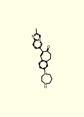 Cc1cn2cc(C3=Cc4ccc(N5CCCNCC5)cc4CCC3=O)ccc2n1